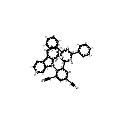 N#Cc1cc(C#N)c(-n2c3cnccc3c3ccncc32)c(-c2nc(-c3ccccc3)nc(-c3ccccc3)n2)c1